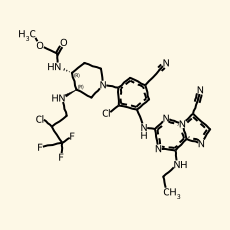 CCNc1nc(Nc2cc(C#N)cc(N3CC[C@@H](NC(=O)OC)[C@H](NCC(Cl)C(F)(F)F)C3)c2Cl)nn2c(C#N)cnc12